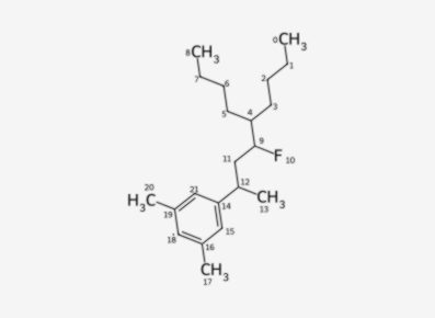 CCCCC(CCCC)C(F)CC(C)c1cc(C)[c]c(C)c1